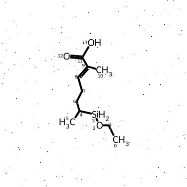 CCO[SiH2]C(C)CC/C=C(\C)C(=O)O